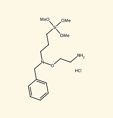 CO[Si](CCCN(Cc1ccccc1)OCCN)(OC)OC.Cl